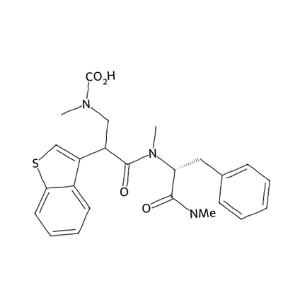 CNC(=O)[C@@H](Cc1ccccc1)N(C)C(=O)C(CN(C)C(=O)O)c1csc2ccccc12